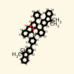 CC1(C)c2ccccc2-c2ccc(-c3ccc(N(c4cccc(-c5ccc6c(c5)C(C)(C)c5ccccc5-6)c4-c4cccc(-c5ccccc5)c4)c4cccc5ccccc45)cc3)cc21